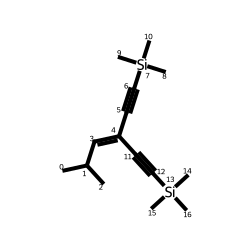 CC(C)C=C(C#C[Si](C)(C)C)C#C[Si](C)(C)C